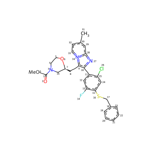 COC(=O)N1CCO[C@@H](Cc2c(-c3cc(F)c(SCc4ccccc4)cc3Cl)nc3cc(C)ccn23)C1